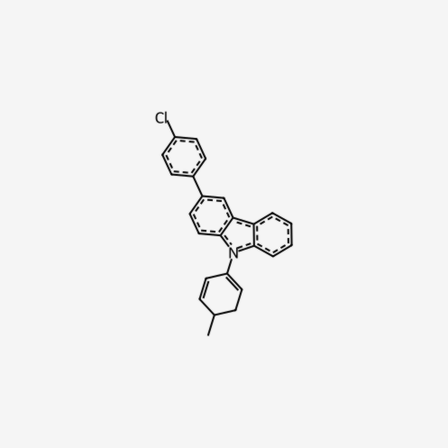 CC1C=CC(n2c3ccccc3c3cc(-c4ccc(Cl)cc4)ccc32)=CC1